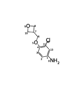 Nc1ccc(OCC2COC2)c(Cl)c1